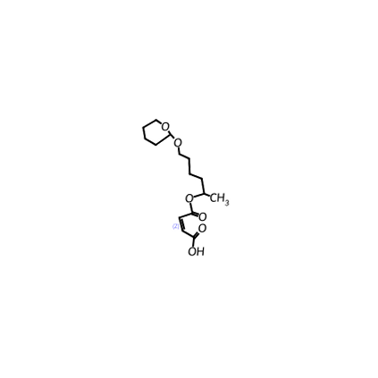 CC(CCCCOC1CCCCO1)OC(=O)/C=C\C(=O)O